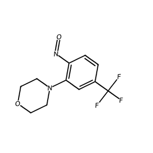 O=Nc1ccc(C(F)(F)F)cc1N1CCOCC1